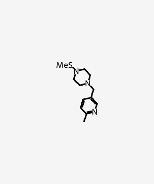 CSN1CCN(Cc2ccc(C)nc2)CC1